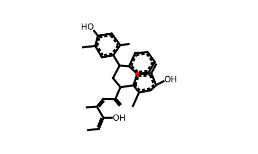 C=C(/C=C(C)\C(O)=C/C)C(CC(c1ccccc1)c1cc(C)c(O)cc1C)c1cc(C)c(O)cc1C